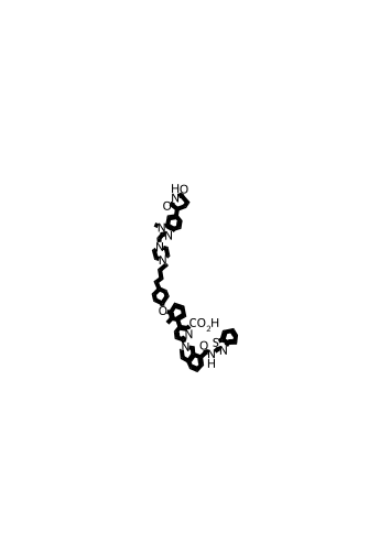 Cc1c(OC2CCC(CCCCN3CCN(Cc4nc5ccc(C6CCC(=O)NC6=O)cc5n4C)CC3)CC2)cccc1-c1ccc(N2CCc3cccc(C(=O)Nc4nc5ccccc5s4)c3C2)nc1C(=O)O